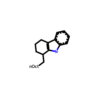 CCCCCCCCCC1CCCC2=C1[N]c1ccccc12